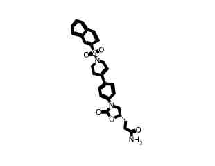 NC(=O)CC[C@H]1CN(c2ccc(C3=CCN(S(=O)(=O)c4ccc5ccccc5c4)CC3)cc2)C(=O)O1